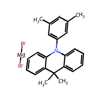 Cc1[c]c(C)cc(N2c3ccccc3C(C)(C)c3ccccc32)c1.[Br][Mg][Br]